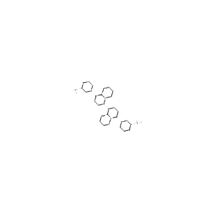 Cc1ccc(-c2ccc(-c3ccc(-c4ccc(C)c(C(F)(F)F)c4)c4ccccc34)c3ccccc23)cc1C(F)(F)F